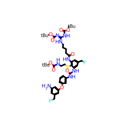 CC(C)(C)OC(=O)/N=C(\NCCCCC(=O)Nc1cc(CF)cc(NC(=O)Nc2cccc(Oc3cc(N)cc(CF)c3)c2)c1SCCNC(=O)OC(C)(C)C)NC(=O)OC(C)(C)C